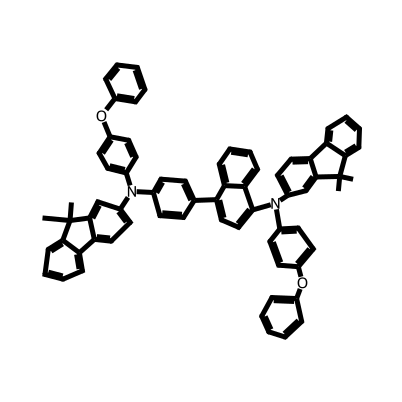 CC1(C)c2ccccc2-c2ccc(N(c3ccc(Oc4ccccc4)cc3)c3ccc(-c4ccc(N(c5ccc(Oc6ccccc6)cc5)c5ccc6c(c5)C(C)(C)c5ccccc5-6)c5ccccc45)cc3)cc21